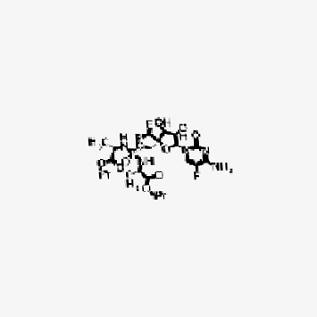 CC(C)OC(=O)[C@H](C)NP(=O)(N[C@@H](C)C(=O)OC(C)C)OC[C@@]1(C(F)F)O[C@@H](n2cc(F)c(N)nc2=O)[C@H](O)[C@@H]1O